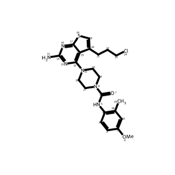 COc1ccc(NC(=O)N2CCN(c3nc(N)nc4scc(CCCCl)c34)CC2)c(C)c1